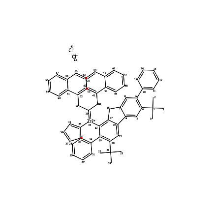 CC(C)(C)c1cc2c(cc1-c1ccccc1)Cc1c-2cc(C(C)(C)C)c(-c2ccccc2)[c]1[Zr+2]([C]1=CC=CC1)=[C](Cc1cccc2ccccc12)Cc1cccc2ccccc12.[Cl-].[Cl-]